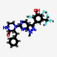 Cn1nc(-c2cc(C(F)(F)F)c(F)c(O)c2F)c2cnc(N3CCNC(=O)C3Cc3ccccc3)nc21